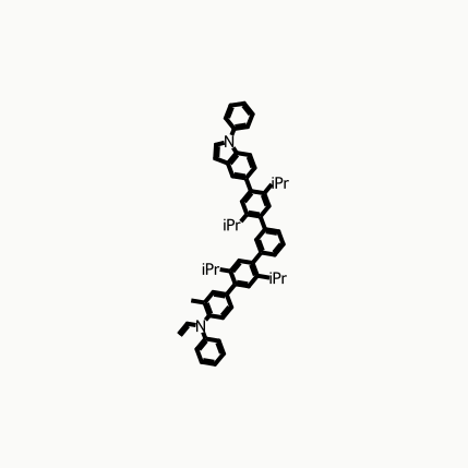 C=CN(c1ccccc1)c1ccc(-c2cc(C(C)C)c(-c3cccc(-c4cc(C(C)C)c(-c5ccc6c(ccn6-c6ccccc6)c5)cc4C(C)C)c3)cc2C(C)C)cc1C